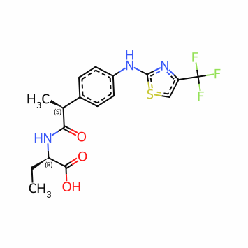 CC[C@@H](NC(=O)[C@@H](C)c1ccc(Nc2nc(C(F)(F)F)cs2)cc1)C(=O)O